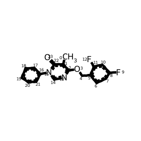 Cc1c(OCc2ccc(F)cc2F)ncn(-c2ccccc2)c1=O